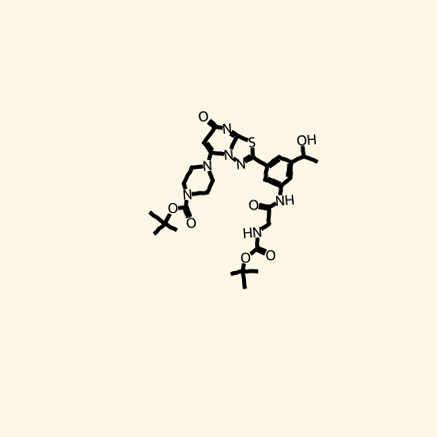 CC(O)c1cc(NC(=O)CNC(=O)OC(C)(C)C)cc(-c2nn3c(N4CCN(C(=O)OC(C)(C)C)CC4)cc(=O)nc3s2)c1